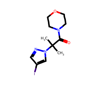 CC(C)(C(=O)N1CCOCC1)n1cc(I)cn1